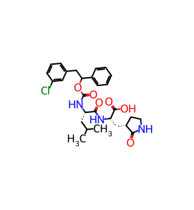 CC(C)C[C@H](NC(=O)OC(Cc1cccc(Cl)c1)c1ccccc1)C(=O)N[C@@H](C[C@@H]1CCNC1=O)C(=O)O